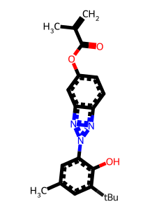 C=C(C)C(=O)Oc1ccc2c(c1)n1n(-c3cc(C)cc(C(C)(C)C)c3O)n21